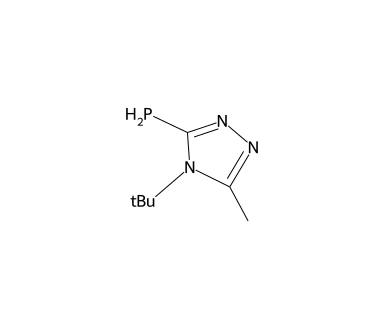 Cc1nnc(P)n1C(C)(C)C